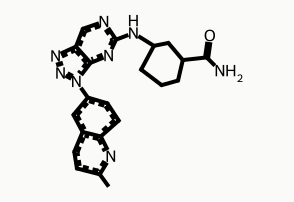 Cc1ccc2cc(-n3nnc4cnc(NC5CCCC(C(N)=O)C5)nc43)ccc2n1